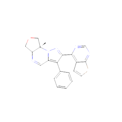 C1=N[C@H]2COC[C@@H]2n2nc(-c3ncnc4sccc34)c(-c3ccccc3)c21